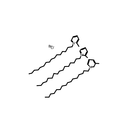 CCCCCCCCCCCCCCCCN1C=CC=C(C)C1.CCCCCCCCCCCCCCCC[n+]1ccccc1C.CCCCCCCCCCCCCCCC[n+]1ccccc1C.[Br-].[Cl-]